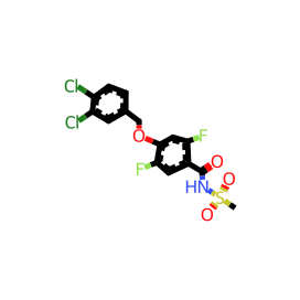 CS(=O)(=O)NC(=O)c1cc(F)c(OCc2ccc(Cl)c(Cl)c2)cc1F